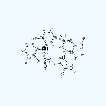 COC(=O)CCNS(=O)(=O)Cc1c(C)cccc1Nc1nc(Nc2cc(OC)c(OC)c(OC)c2)ncc1F